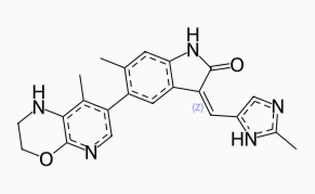 Cc1ncc(/C=C2\C(=O)Nc3cc(C)c(-c4cnc5c(c4C)NCCO5)cc32)[nH]1